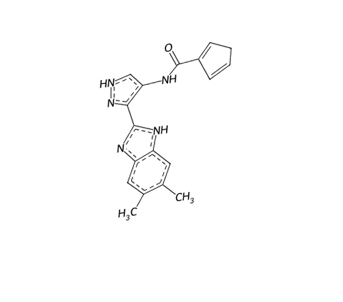 Cc1cc2nc(-c3n[nH]cc3NC(=O)C3=CCC=C3)[nH]c2cc1C